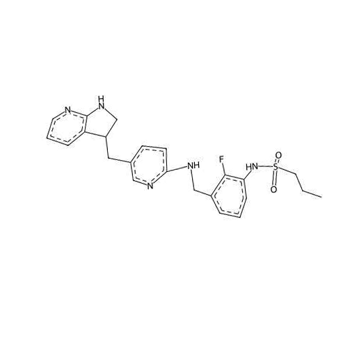 CCCS(=O)(=O)Nc1cccc(CNc2ccc(CC3CNc4ncccc43)cn2)c1F